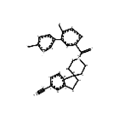 C=C(c1ccc(C)c(-c2ccc(C)nc2)c1)N1CCC2(CCc3cc(C#N)ccc32)CC1